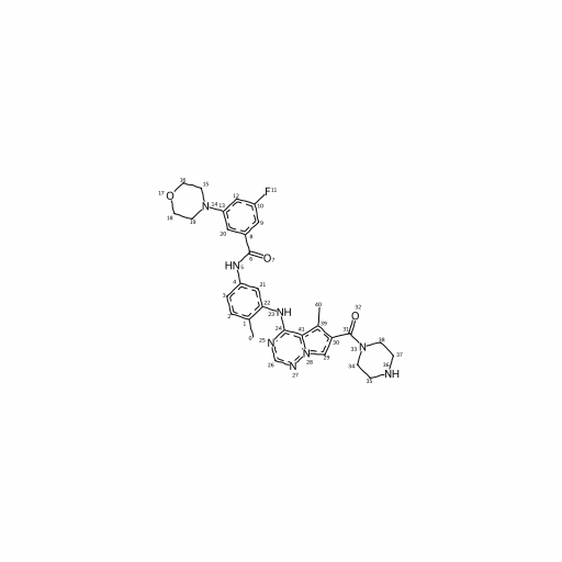 Cc1ccc(NC(=O)c2cc(F)cc(N3CCOCC3)c2)cc1Nc1ncnn2cc(C(=O)N3CCNCC3)c(C)c12